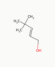 CC(C)(C)C=CCO